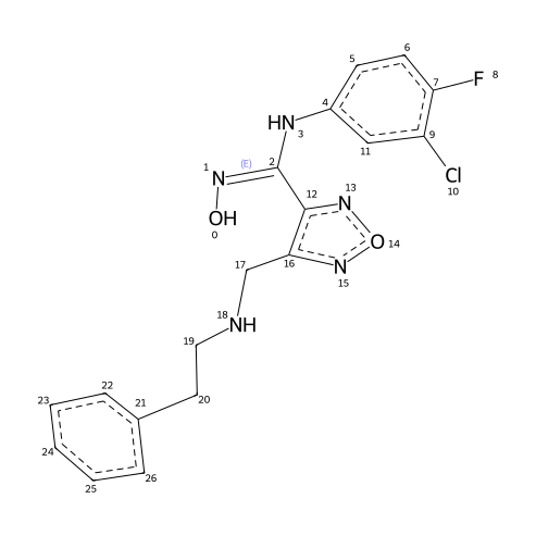 O/N=C(/Nc1ccc(F)c(Cl)c1)c1nonc1CNCCc1ccccc1